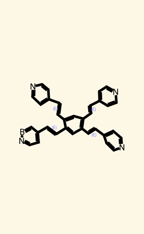 b1cc(/C=C/c2cc(/C=C/c3ccncc3)c(/C=C/c3ccncc3)cc2/C=C/c2ccncc2)ccn1